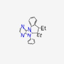 CCC1c2ccccc2N2c3nccnc3N(c3ccccc3)C2C1CC